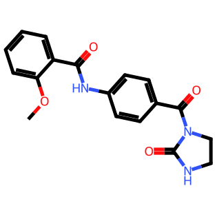 COc1ccccc1C(=O)Nc1ccc(C(=O)N2CCNC2=O)cc1